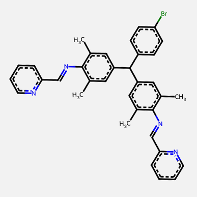 Cc1cc(C(c2ccc(Br)cc2)c2cc(C)c(N=Cc3ccccn3)c(C)c2)cc(C)c1N=Cc1ccccn1